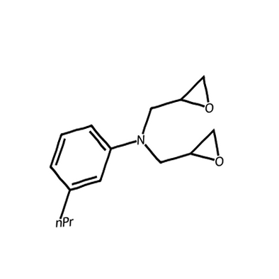 CCCc1cccc(N(CC2CO2)CC2CO2)c1